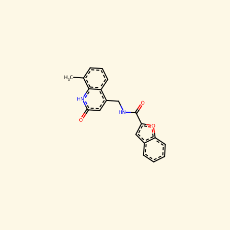 Cc1cccc2c(CNC(=O)c3cc4ccccc4o3)cc(=O)[nH]c12